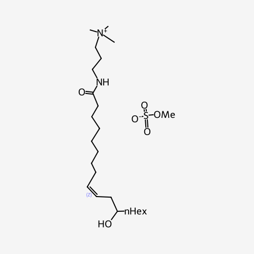 CCCCCCC(O)C/C=C\CCCCCCCC(=O)NCCC[N+](C)(C)C.COS(=O)(=O)[O-]